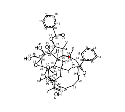 C=C(C)[C@@]12C[C@@H](COC(=O)c3ccccc3)[C@]3(OCO1)[C@@H]1[C@H]4C(C)CCCCCC[C@H](O)O[C@@H]2[C@@H]3C2O[C@]2(CO)[C@@H](O)[C@]1(O)[C@@H](OC(=O)c1ccccc1)C4C